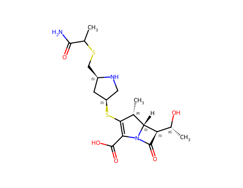 CC(SC[C@@H]1C[C@H](SC2=C(C(=O)O)N3C(=O)[C@H]([C@@H](C)O)[C@H]3[C@H]2C)CN1)C(N)=O